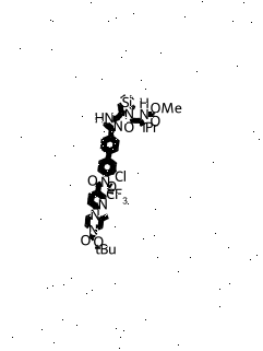 COC(=O)NC(C(=O)N1C[Si](C)(C)CC1c1nc(-c2ccc(-c3ccc(N(OC(F)(F)F)C(=O)c4ccc(N5CCN(C(=O)OC(C)(C)C)CC5C)nc4)c(Cl)c3)cc2)c[nH]1)C(C)C